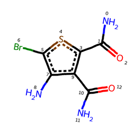 NC(=O)c1sc(Br)c(N)c1C(N)=O